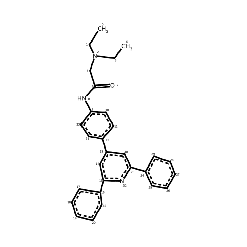 CCN(CC)CC(=O)Nc1ccc(-c2cc(-c3ccccc3)nc(-c3ccccc3)c2)cc1